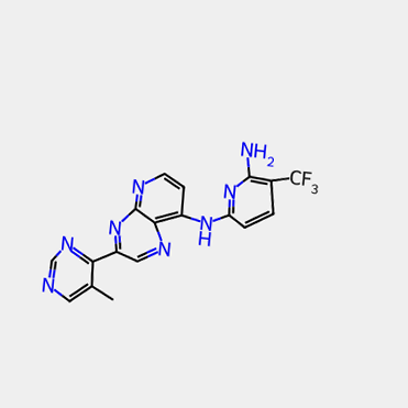 Cc1cncnc1-c1cnc2c(Nc3ccc(C(F)(F)F)c(N)n3)ccnc2n1